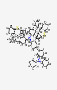 c1ccc(-n2c3ccccc3c3ccc(-c4ccc(N(c5ccc6c(c5)C5(c7ccccc7Sc7ccccc75)c5ccccc5-6)c5ccc6c(c5)C5(c7ccccc7Sc7ccccc75)c5ccccc5-6)cc4)cc32)cc1